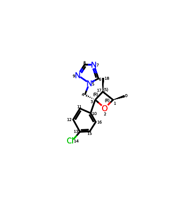 C[C@H]1O[C@@](Cn2cncn2)(c2ccc(Cl)cc2)[C@H]1C